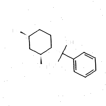 C[C@H]1CC[C@H](C(C)(C)c2ccccc2)[C@@H](O)C1